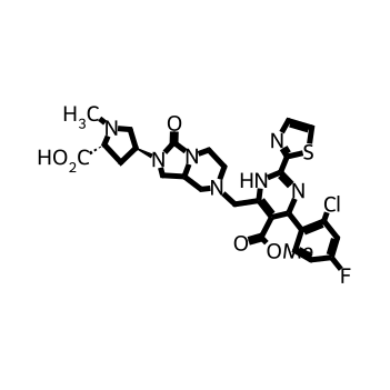 COC(=O)C1=C(CN2CCN3C(=O)N([C@H]4C[C@H](C(=O)O)N(C)C4)CC3C2)NC(c2nccs2)=NC1c1ccc(F)cc1Cl